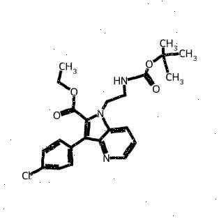 CCOC(=O)c1c(-c2ccc(Cl)cc2)c2ncccc2n1CCNC(=O)OC(C)(C)C